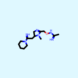 CC(=N)NOCC1=NCC(CC(=N)N2CCCCC2)N1C